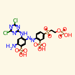 Nc1cc(Nc2nc(Cl)nc(Cl)n2)c(/N=N/c2ccc(S(=O)(=O)CCOS(=O)(=O)O)cc2S(=O)(=O)O)cc1S(=O)(=O)O